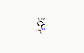 CCC(=O)Nc1ccc(OC)cc1F